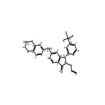 C=CCn1c(=O)c2cnc(Nc3cnc4c(n3)CNCC4)nc2n1-c1cccc(C(C)(C)C)c1